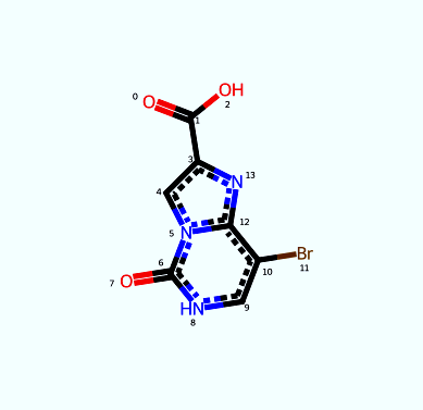 O=C(O)c1cn2c(=O)[nH]cc(Br)c2n1